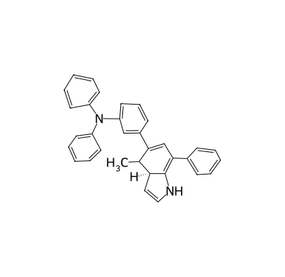 CC1C(c2cccc(N(c3ccccc3)c3ccccc3)c2)=CC(c2ccccc2)=C2NC=C[C@H]21